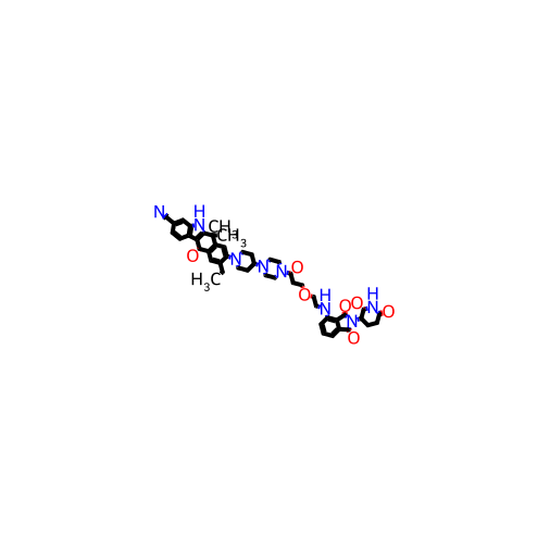 CCc1cc2c(cc1N1CCC(N3CCN(C(=O)CCOCCNc4cccc5c4C(=O)N(C4CCC(=O)NC4=O)C5=O)CC3)CC1)C(C)(C)c1[nH]c3cc(C#N)ccc3c1C2=O